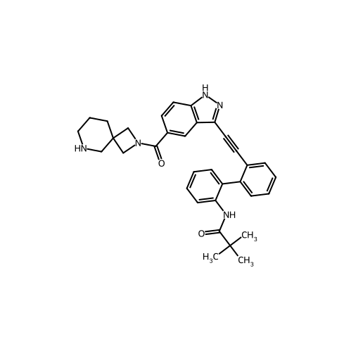 CC(C)(C)C(=O)Nc1ccccc1-c1ccccc1C#Cc1n[nH]c2ccc(C(=O)N3CC4(CCCNC4)C3)cc12